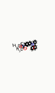 CO/C(C)=C(\C(C)=O)c1ccc2ccc(N(c3ccccc3)c3ccccc3-c3ccccc3)cc2c1